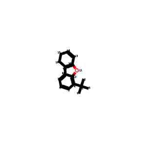 CC(C)(C)c1cccc2c3c(oc12)C=CCC3